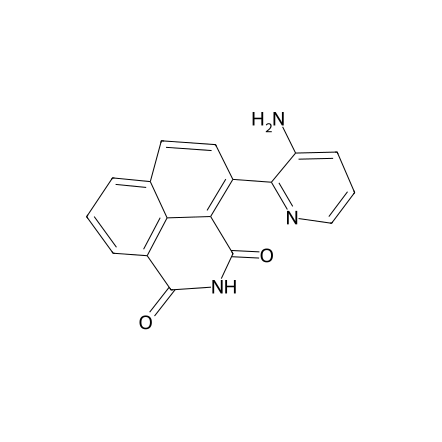 Nc1cccnc1-c1ccc2cccc3c2c1C(=O)NC3=O